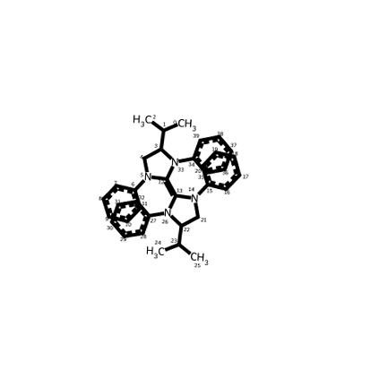 CC(C)C1CN(c2ccccc2)/C(=C2/N(c3ccccc3)CC(C(C)C)N2c2ccccc2)N1c1ccccc1